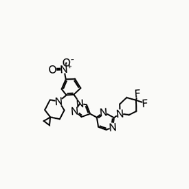 O=[N+]([O-])c1ccc(-n2cc(-c3ccnc(N4CCC(F)(F)CC4)n3)cn2)c(N2CCC3(CC2)CC3)c1